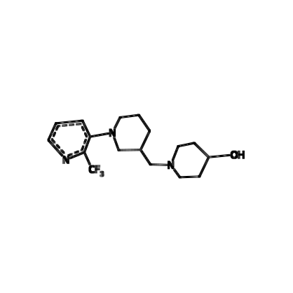 OC1CCN(CC2CCCN(c3cccnc3C(F)(F)F)C2)CC1